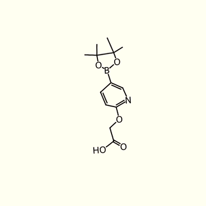 CC1(C)OB(c2ccc(OCC(=O)O)nc2)OC1(C)C